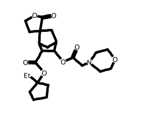 CCC1(OC(=O)C2C(OC(=O)CN3CCOCC3)C3CC2C2(CCOC2=O)C3)CCCC1